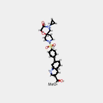 COC(=O)c1cnc2cc(-c3ccc(S(=O)(=O)N4CCC5(CC4)CN(C4CC4)C(=O)CO5)cc3)ccc2c1